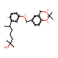 CC(CCCC(C)(C)O)c1cccc(OCc2ccc3c(c2)COC(C)(C)O3)c1